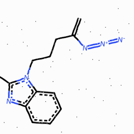 C=C(CCCn1c(C)nc2ccccc21)N=[N+]=[N-]